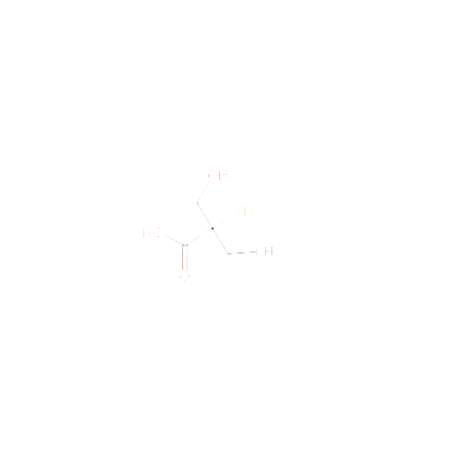 CCC(S)(CO)C(=O)O